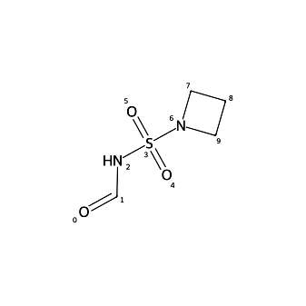 O=CNS(=O)(=O)N1CCC1